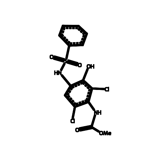 COC(=O)Nc1c(Cl)cc(NS(=O)(=O)c2ccccc2)c(O)c1Cl